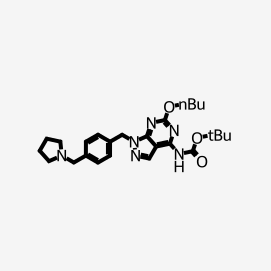 CCCCOc1nc(NC(=O)OC(C)(C)C)c2cnn(Cc3ccc(CN4CCCC4)cc3)c2n1